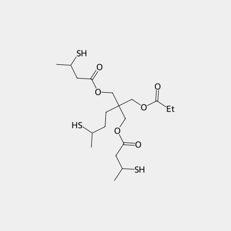 CCC(=O)OCC(CCC(C)S)(COC(=O)CC(C)S)COC(=O)CC(C)S